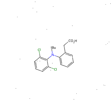 CC(C)(C)N(c1ccccc1CC(=O)O)c1c(Cl)cccc1Cl